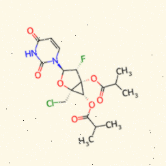 CC(C)C(=O)O[C@H]1[C@]2(OC(=O)C(C)C)[C@@H](F)[C@H](n3ccc(=O)[nH]c3=O)O[C@]12CCl